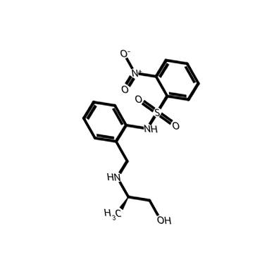 C[C@H](CO)NCc1ccccc1NS(=O)(=O)c1ccccc1[N+](=O)[O-]